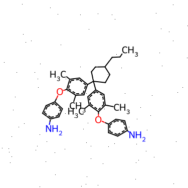 CCCC1CCC(c2cc(C)c(Oc3ccc(N)cc3)c(C)c2)(c2cc(C)c(Oc3ccc(N)cc3)c(C)c2)CC1